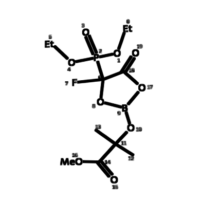 CCOP(=O)(OCC)C1(F)OB(OC(C)(C)C(=O)OC)OC1=O